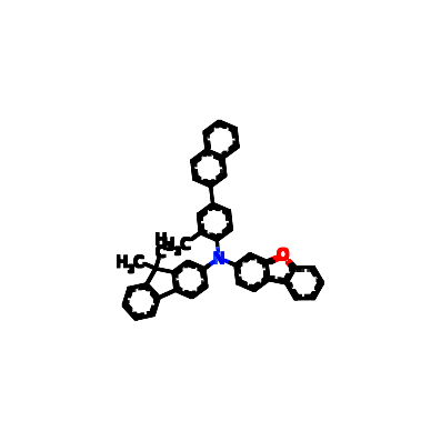 Cc1cc(-c2ccc3ccccc3c2)ccc1N(c1ccc2c(c1)C(C)(C)c1ccccc1-2)c1ccc2c(c1)oc1ccccc12